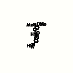 COc1ccc2c(c1OC)CC[C@@H]2C(=O)Nc1cc2cc(-c3cn[nH]c3)ccc2cn1